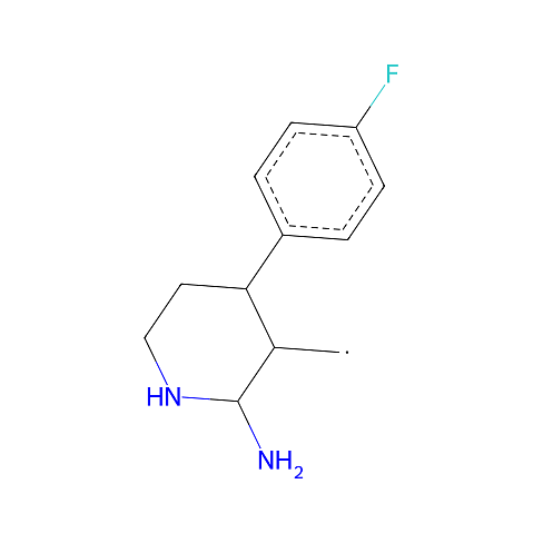 [CH2]C1C(N)NCCC1c1ccc(F)cc1